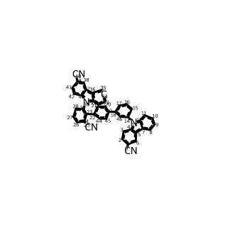 N#Cc1ccc2c(c1)c1ccccc1n2-c1cccc(-c2ccc(-c3c(C#N)cccc3-n3c4ccccc4c4cc(C#N)ccc43)cc2)c1